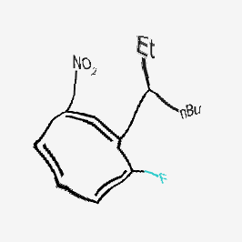 CCCCC(CC)c1c(F)cccc1[N+](=O)[O-]